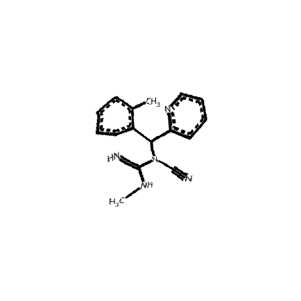 CNC(=N)N(C#N)C(c1ccccn1)c1ccccc1C